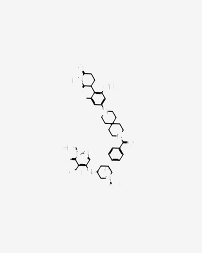 Cc1cc(N2CCC3(CCN(C(=O)c4ccc([C@H]5C[C@@H](Nc6cnn(C)c(=O)c6Cl)CN(C)C5)cc4)CC3)CC2)cc(F)c1C1CCC(=O)NC1=O